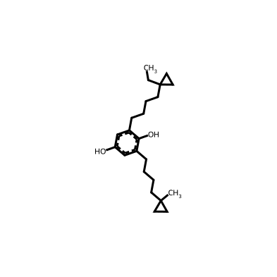 CCC1(CCCCc2cc(O)cc(CCCCC3(C)CC3)c2O)CC1